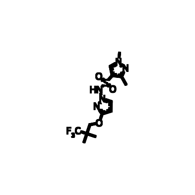 Cc1nn(C)cc1S(=O)(=O)Nn1ccc(OCC(C)(C)C(F)(F)F)n1